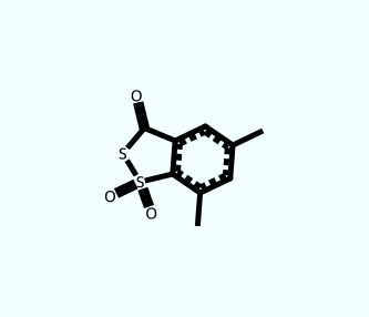 Cc1cc(C)c2c(c1)C(=O)SS2(=O)=O